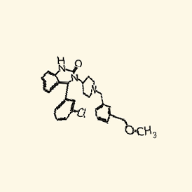 COCc1cccc(CN2CCC(N3C(=O)Nc4ccccc4C3c3cccc(Cl)c3)CC2)c1